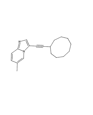 Ic1ccc2ncc(C#CC3CCCCCCCC3)n2c1